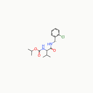 CC(C)OC(=O)NC(C(=O)N[CH]c1ccccc1Cl)C(C)C